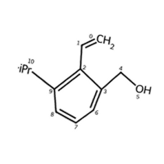 C=Cc1c(CO)cccc1[C](C)C